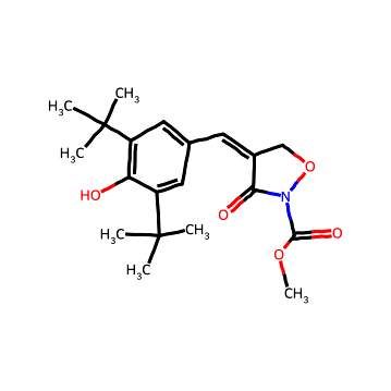 COC(=O)N1OCC(=Cc2cc(C(C)(C)C)c(O)c(C(C)(C)C)c2)C1=O